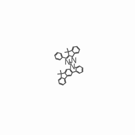 CC1(C)c2ccccc2-c2cc3c4ccccc4n(-c4nc(-c5ccccc5)c5c(n4)-c4ccccc4C5(C)C)c3cc21